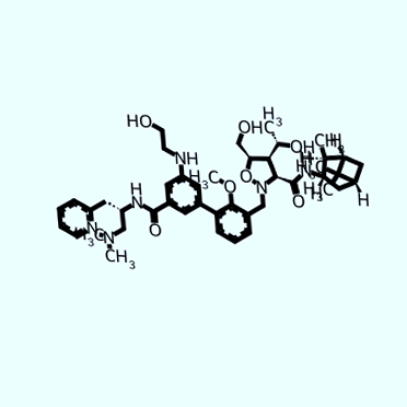 COc1c(CN2O[C@@H](CO)[C@@H]([C@H](C)O)[C@H]2C(=O)N[C@H]2C[C@H]3C[C@@H]([C@@H]2C)C3(C)C)cccc1-c1cc(NCCO)cc(C(=O)N[C@@H](Cc2ccccn2)CN(C)C)c1